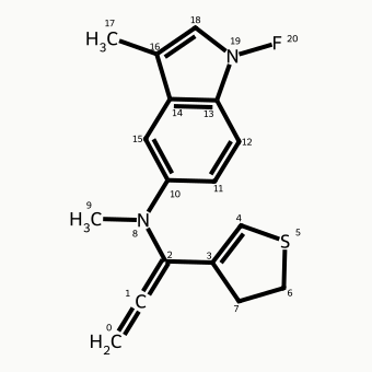 C=C=C(C1=CSCC1)N(C)c1ccc2c(c1)c(C)cn2F